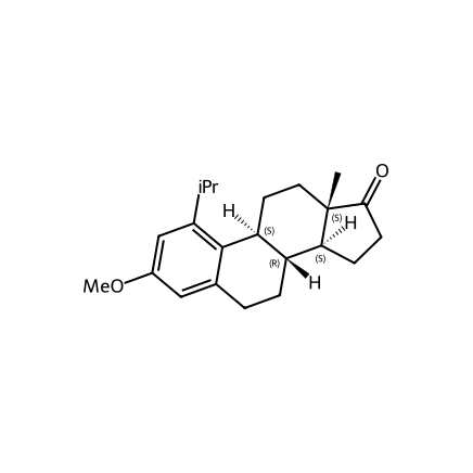 COc1cc2c(c(C(C)C)c1)[C@H]1CC[C@]3(C)C(=O)CC[C@H]3[C@@H]1CC2